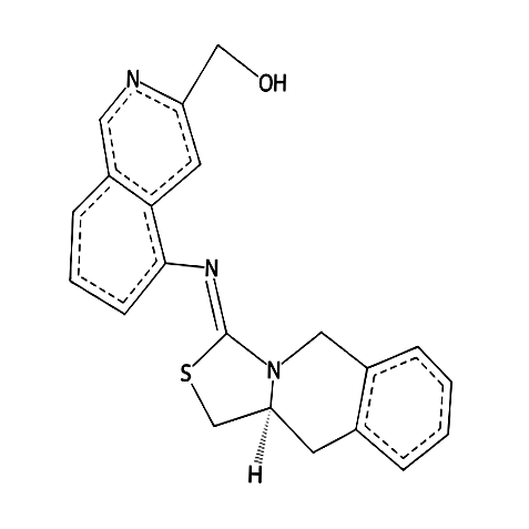 OCc1cc2c(N=C3SC[C@@H]4Cc5ccccc5CN34)cccc2cn1